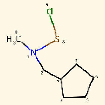 CN(CC1CCCC1)SCl